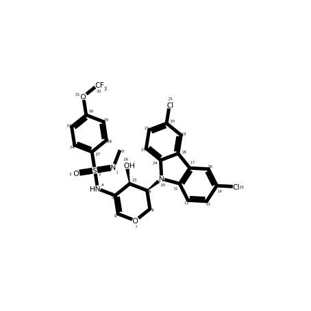 CN=S(=O)(NC1=COC[C@H](n2c3ccc(Cl)cc3c3cc(Cl)ccc32)[C@@H]1O)c1ccc(OC(F)(F)F)cc1